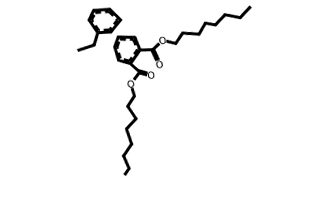 CCCCCCCCOC(=O)c1ccccc1C(=O)OCCCCCCCC.CCc1ccccc1